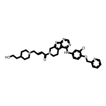 O=C(/C=C/CN1CCC(CCO)CC1)N1CCc2c(sc3ncnc(Nc4ccc(OCc5ccccn5)c(Cl)c4)c23)C1